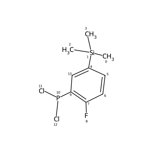 C[Si](C)(C)c1ccc(F)c(P(Cl)Cl)c1